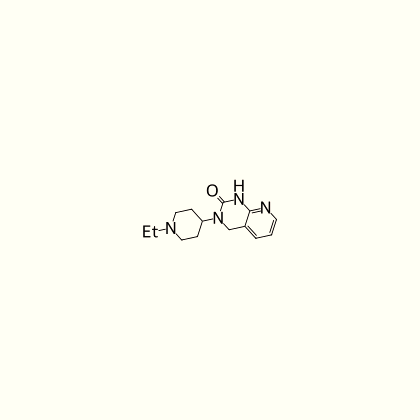 CCN1CCC(N2Cc3cccnc3NC2=O)CC1